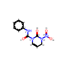 O=C(Nc1ccccc1)N1C=CCN([N+](=O)[O-])C1=O